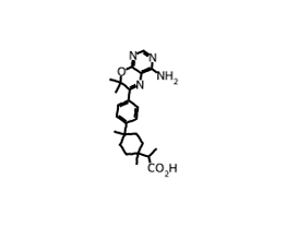 CC(C(=O)O)C1(C)CCC(C)(c2ccc(C3=Nc4c(N)ncnc4OC3(C)C)cc2)CC1